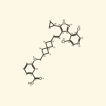 O=C(O)c1cccc(OCC2CC3(CC(C=Cc4c(-c5c(Cl)cncc5Cl)noc4C4CC4)C3)C2)c1